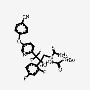 CC(C)(C)OC(=O)NN(CC(O)(c1ccc(F)cc1F)C(F)(F)c1ccc(Oc2ccc(C#N)cc2)cn1)C(N)=S